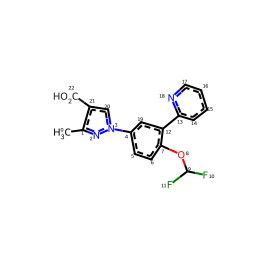 Cc1nn(-c2ccc(OC(F)F)c(-c3ccccn3)c2)cc1C(=O)O